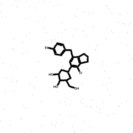 CCc1ccc(Cc2cc(C3CC(O)C(O)C(CO)C3)c(CC)c3c2CCC3)cc1